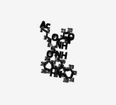 CC(=O)CCCCC[C@H](NC(=O)c1ccon1)C(=O)NCCc1c(-c2ccccc2)[nH]c2ccccc12